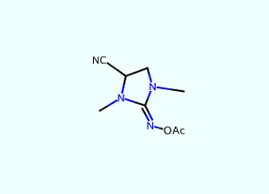 CC(=O)O/N=C1\N(C)CC(C#N)N1C